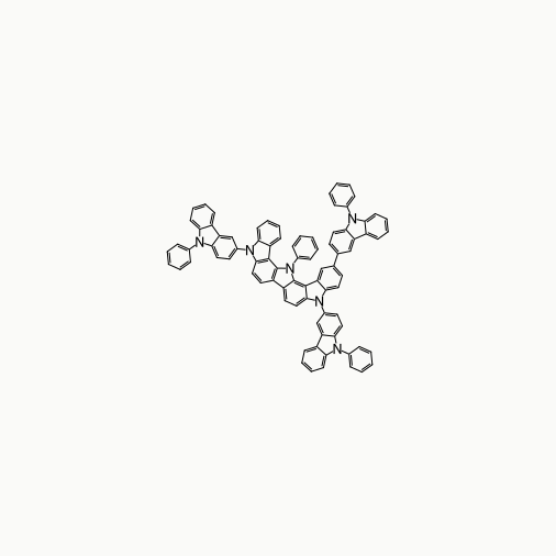 c1ccc(-n2c3ccccc3c3cc(-c4ccc5c(c4)c4c(ccc6c7ccc8c(c9ccccc9n8-c8ccc9c(c8)c8ccccc8n9-c8ccccc8)c7n(-c7ccccc7)c64)n5-c4ccc5c(c4)c4ccccc4n5-c4ccccc4)ccc32)cc1